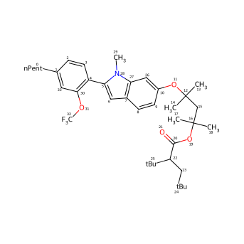 CCCCCc1ccc(-c2cc3ccc(OC(C)(C)CC(C)(C)OC(=O)C(CC(C)(C)C)C(C)(C)C)cc3n2C)c(OC(F)(F)F)c1